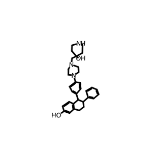 Oc1ccc2c(c1)CCC(c1ccccc1)C2c1ccc(N2CCN(CC3(O)CCNCC3)CC2)cc1